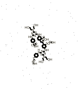 O=S(=O)(O)c1ccc(Nc2nc(Nc3ccc(/C=C/c4ccc(Nc5nc(Nc6ccc(SOOO)cc6)nc(N(CCO)CCO)n5)cc4SOOO)c(S(=O)(=O)O)c3)nc(N(CCO)CCO)n2)cc1